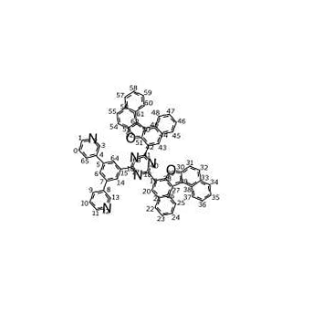 c1cncc(-c2cc(-c3cccnc3)cc(-c3nc(-c4cc5ccccc5c5c4oc4ccc6ccccc6c45)nc(-c4cc5ccccc5c5c4oc4ccc6ccccc6c45)n3)c2)c1